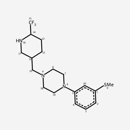 CSc1cccc(N2CCN(CC3CCC(C(F)(F)F)NC3)CC2)c1